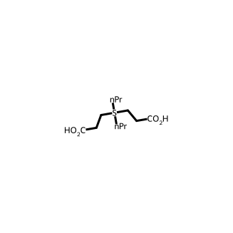 CCCS(CCC)(CCC(=O)O)CCC(=O)O